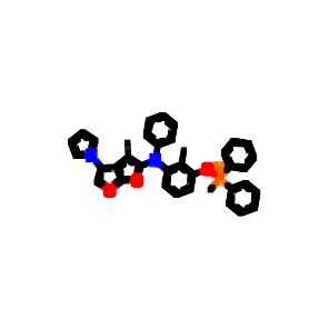 Cc1c(O[PH](C)(c2ccccc2)c2ccccc2)cccc1N(c1ccccc1)c1oc2occ(-n3cccc3)c2c1C